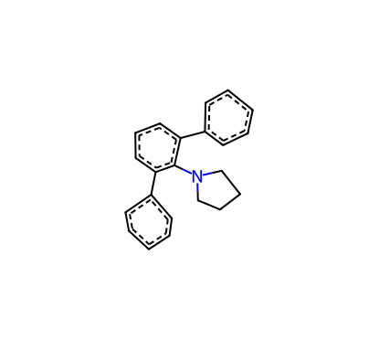 c1ccc(-c2cccc(-c3ccccc3)c2N2CCCC2)cc1